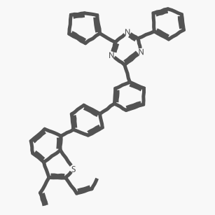 C=Cc1c(/C=C\C)sc2c(-c3ccc(-c4cccc(-c5nc(-c6ccccc6)nc(-c6ccccc6)n5)c4)cc3)cccc12